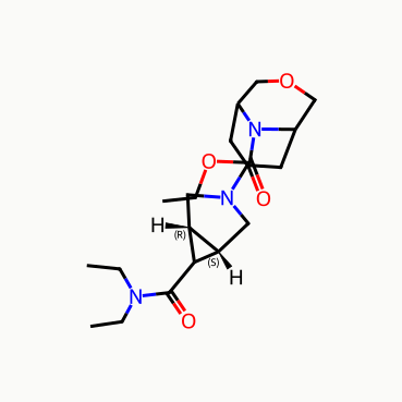 CCOC(=O)N1C2COCC1CC(N1C[C@@H]3C(C(=O)N(CC)CC)[C@@H]3C1)C2